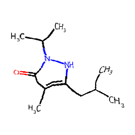 Cc1c(CC(C)C)[nH]n(C(C)C)c1=O